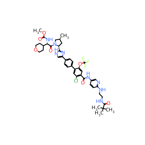 COC(=O)N[C@H](C(=O)N1C[C@@H](C)C[C@H]1c1nc(-c2ccc(-c3cc(Cl)c(C(=O)Nc4ccc(NCCNC(=O)C(C)(C)C)nc4)cc3OC(F)(F)F)cc2)c[nH]1)C1CCOCC1